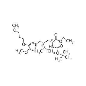 CCOC(=O)[C@@H](C[C@H](Cc1ccc(OC)c(OCCCOC)c1)C(C)C)NC(=O)OC(C)(C)C